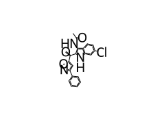 CC(=O)Nc1c(C(=O)c2cc(-c3ccccc3)no2)[nH]c2cc(Cl)ccc12